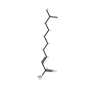 CC(C)CCCCC/C=C/C(=O)O